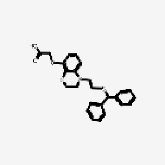 O=C(O)COc1cccc2c1SCCN2CCSC(c1ccccc1)c1ccccc1